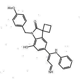 COc1ccc(CN2C(=O)C3(CCC3)c3cc(/C(=C/C=N)Nc4ccccc4)cc(O)c32)cc1